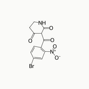 O=C1CCNC(=O)C1C(=O)c1ccc(Br)cc1[N+](=O)[O-]